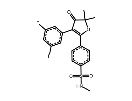 CNS(=O)(=O)c1ccc(C2=C(c3cc(F)cc(F)c3)C(=O)C(C)(C)O2)cc1